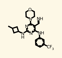 CC1CC(Nc2nc(Nc3cccc(C(F)(F)F)c3)c(C=N)c(N3CCOCC3)n2)C1